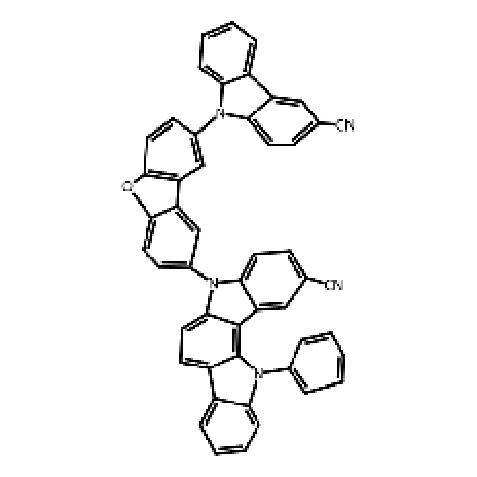 N#Cc1ccc2c(c1)c1ccccc1n2-c1ccc2oc3ccc(-n4c5ccc(C#N)cc5c5c4ccc4c6ccccc6n(-c6ccccc6)c45)cc3c2c1